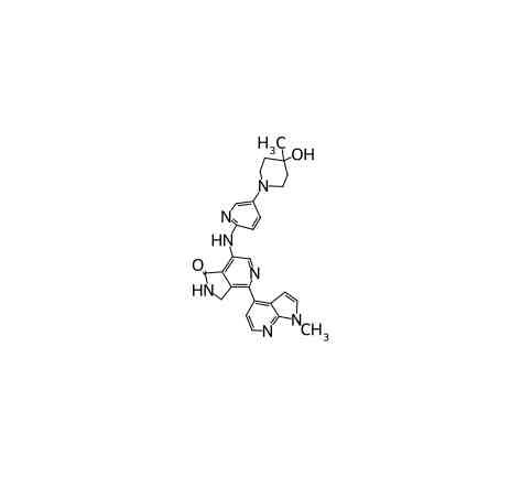 Cn1ccc2c(-c3ncc(Nc4ccc(N5CCC(C)(O)CC5)cn4)c4c3CNC4=O)ccnc21